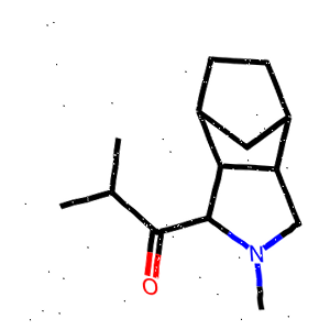 CC(C)C(=O)C1C2C3CCC(C3)C2CN1C